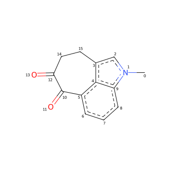 Cn1cc2c3c(cccc31)C(=O)C(=O)CC2